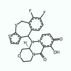 O=C1c2c(O)c(=O)ccn2N(C2c3ccsc3SCc3c2ccc(F)c3F)[C@@H]2COCCN12